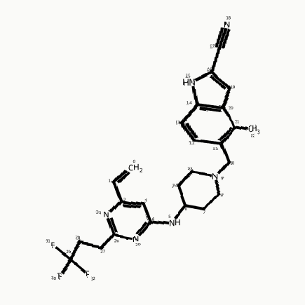 C=Cc1cc(NC2CCN(Cc3ccc4[nH]c(C#N)cc4c3C)CC2)nc(CCC(F)(F)F)n1